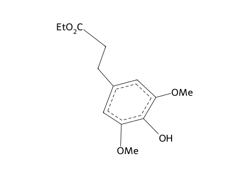 CCOC(=O)CCc1cc(OC)c(O)c(OC)c1